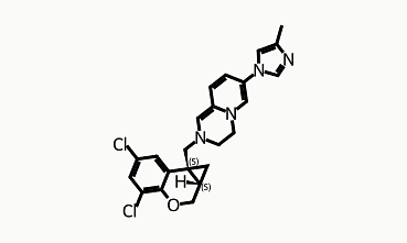 Cc1cn(C2=CN3CCN(C[C@@]45C[C@@H]4COc4c(Cl)cc(Cl)cc45)C=C3C=C2)cn1